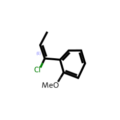 C/C=C(/Cl)c1ccccc1OC